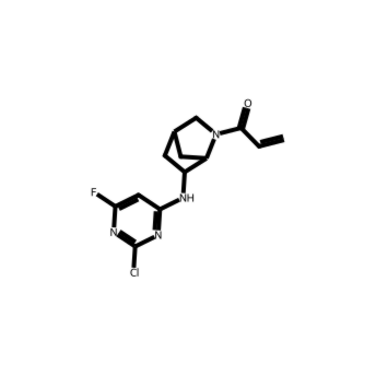 C=CC(=O)N1CC2CC(Nc3cc(F)nc(Cl)n3)C1C2